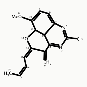 C=C1C2=NC(Cl)=NC3=CC=C(OC)C(O/C1=C/C=C\C)C32